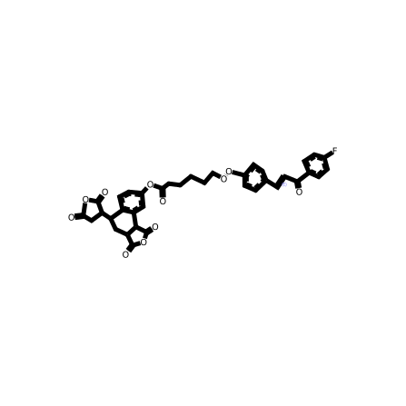 O=C1CC(C2CC3C(=O)OC(=O)C3c3cc(OC(=O)CCCCCOOc4ccc(/C=C/C(=O)c5ccc(F)cc5)cc4)ccc32)C(=O)O1